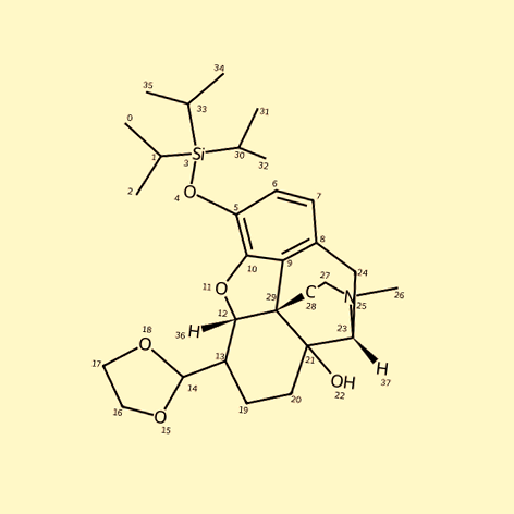 CC(C)[Si](Oc1ccc2c3c1O[C@H]1C(C4OCCO4)CCC4(O)[C@@H](C2)N(C)CC[C@]314)(C(C)C)C(C)C